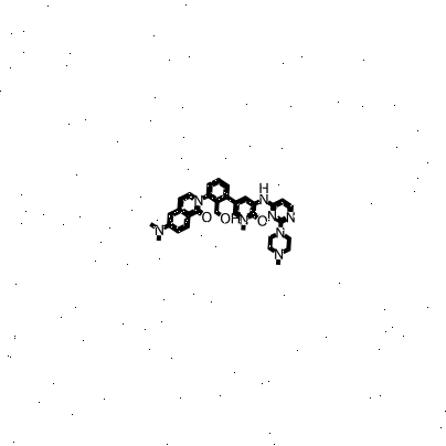 CN1CCN(c2nccc(Nc3cc(-c4cccc(-n5ccc6cc(N(C)C)ccc6c5=O)c4CO)cn(C)c3=O)n2)CC1